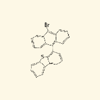 Brc1c2ccccc2c(-c2cccc3c2sc2ccccc23)c2ccccc12